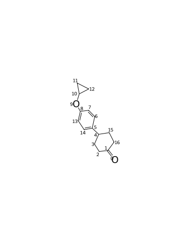 O=C1CCC(c2ccc(OC3CC3)cc2)CC1